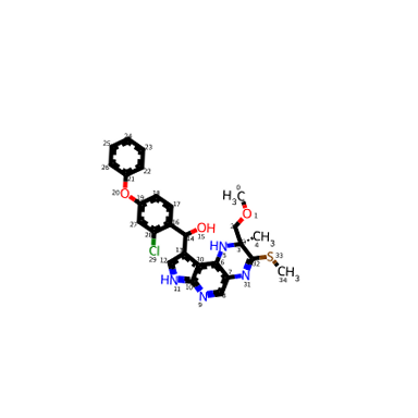 COC[C@]1(C)Nc2c(cnc3[nH]cc(C(O)c4ccc(Oc5ccccc5)cc4Cl)c23)N=C1SC